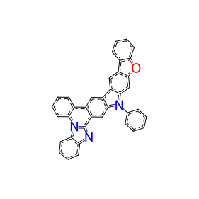 c1ccc(-n2c3cc4oc5ccccc5c4cc3c3cc4c5ccccc5n5c6ccccc6nc5c4cc32)cc1